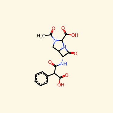 CC(=O)N1CC2[C@@H](NC(=O)C(C(=O)O)c3ccccc3)C(=O)N2C1C(=O)O